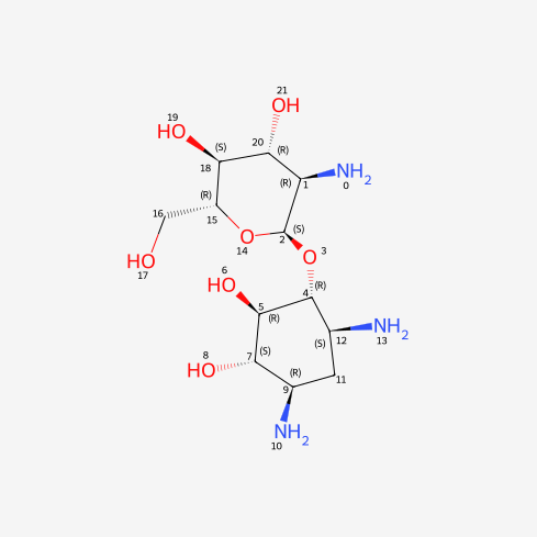 N[C@H]1[C@@H](O[C@H]2[C@H](O)[C@@H](O)[C@H](N)C[C@@H]2N)O[C@H](CO)[C@@H](O)[C@@H]1O